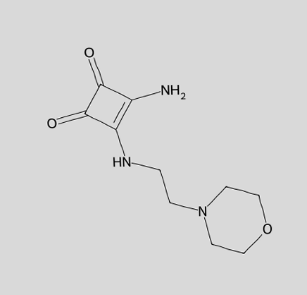 Nc1c(NCCN2CCOCC2)c(=O)c1=O